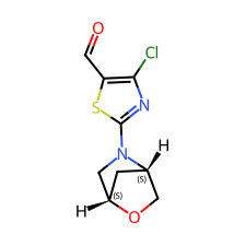 O=Cc1sc(N2C[C@@H]3C[C@H]2CO3)nc1Cl